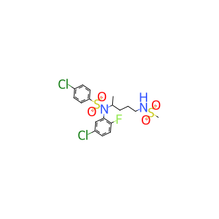 CC(CCCNS(C)(=O)=O)N(c1cc(Cl)ccc1F)S(=O)(=O)c1ccc(Cl)cc1